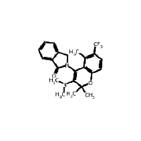 Cc1c(C(F)(F)F)ccc2c1C(N1Cc3ccccc3C1=O)=C(N(C)C)C(C)(C)O2